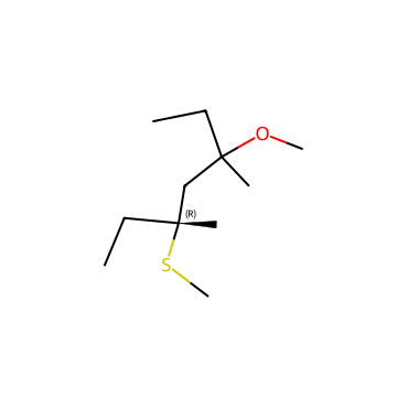 CCC(C)(C[C@@](C)(CC)SC)OC